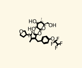 Cc1c(Cc2ccc(OC(F)(F)C(F)F)cc2)c(O[C@@H]2O[C@H](CO)[C@@H](C)[C@H](O)[C@H]2O)nn1C1CCOC1